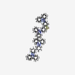 c1cc(-c2cccc(-n3c4ccccc4c4c(-c5ccc6c(c5)c5ccccc5n6-c5ccc6sc7ccc(-n8c9ccccc9c9ccccc98)cc7c6c5)cccc43)c2)cc(-n2c3ccccc3c3ccccc32)c1